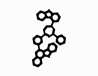 C1=CC(c2cccc(-c3cc4ccccc4c4sc5ccccc5c34)c2)=NC(c2ccccc2)=CC=1c1cccc2sc3ccccc3c12